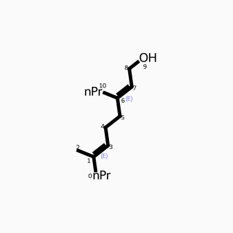 CCC/C(C)=C/CC/C(=C/CO)CCC